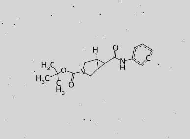 CC(C)(C)OC(=O)N1CC2C(C(=O)Nc3ccccc3)[C@@H]2C1